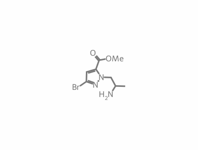 COC(=O)c1cc(Br)nn1CC(C)N